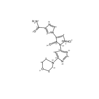 Cl.NC(=O)c1cn(-c2c[nH]n(-c3cc(N4CCOCC4)ncn3)c2=O)cn1